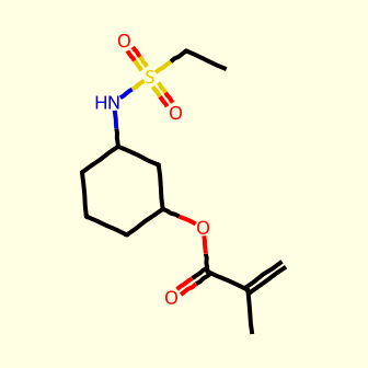 C=C(C)C(=O)OC1CCCC(NS(=O)(=O)CC)C1